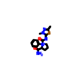 Cc1nn(C)c(=NC(=O)[N+]2(c3ccccc3)CCCC2C(N)=O)s1